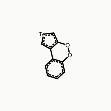 c1ccc2c(c1)OOc1c[te]cc1-2